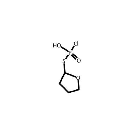 O=P(O)(Cl)SC1CCCO1